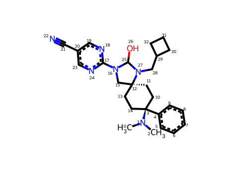 CN(C)[C@]1(c2ccccc2)CC[C@]2(CC1)CN(c1ncc(C#N)cn1)C(O)N2CC1CCC1